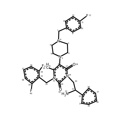 Cc1c(N2CCN(Cc3ccc(F)cc3)CC2)c(=O)n(CC(N)c2ccccc2)c(=O)n1Cc1c(F)cccc1F